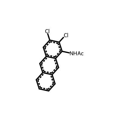 CC(=O)Nc1c(Cl)c(Cl)cc2cc3ccccc3cc12